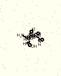 NCCCC(=O)N[C@@H](Cc1c[nH]c2ccc(O)cc12)C(=O)N[C@@H](Cc1ccc(Cl)cc1)C(=O)N[C@@H](Cc1ccncc1)C(=O)NCCc1c[nH]c2ccccc12